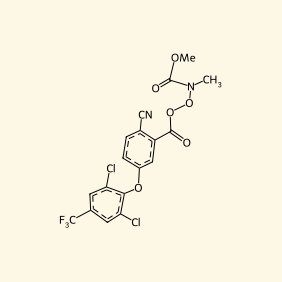 COC(=O)N(C)OOC(=O)c1cc(Oc2c(Cl)cc(C(F)(F)F)cc2Cl)ccc1C#N